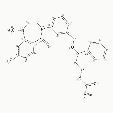 CNC(=O)OCCC(OCc1cccc(N2CCN(C)c3cc(C)ncc3C2=O)c1)c1ccccc1